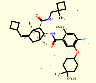 COc1cc(F)c(OC2CCC(C)(C(=O)O)CC2)cc1C(=O)N[C@@H]1[C@H]2C/C(=C/C3CCC3)[C@H](C2)[C@@H]1C(=O)NCC1(C)CCC1